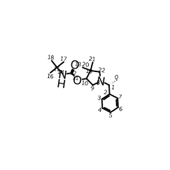 C[C@H](c1ccccc1)N1CC(OC(=O)NC(C)(C)C)C(C)(C)C1